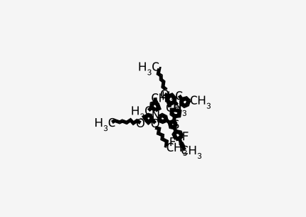 CC#Cc1c(F)cc(-c2cc(-c3ccc(N(c4ccc(C)cc4C)c4ccc(OCCCCCCCC)cc4OCCCCCCCC)cc3)c(-c3ccc(N(c4ccc(C)cc4C)c4ccc(OCCCCCCCC)cc4C)cc3)s2)cc1F